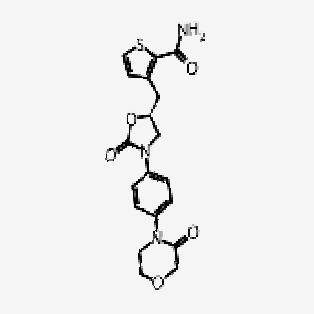 NC(=O)c1sccc1C[C@H]1CN(c2ccc(N3CCOCC3=O)cc2)C(=O)O1